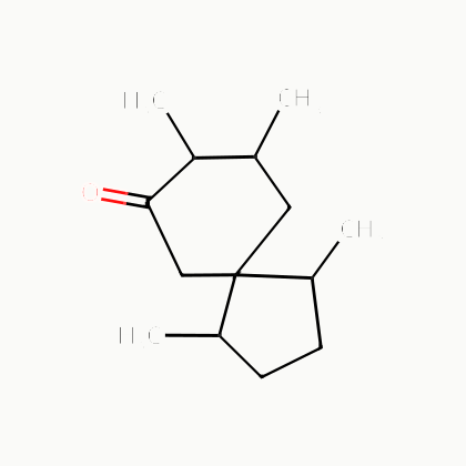 CC1CC2(CC(=O)C1C)C(C)CCC2C